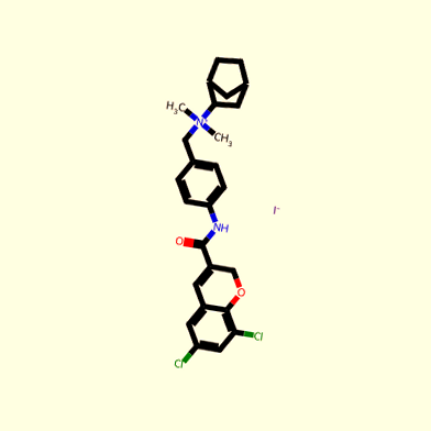 C[N+](C)(Cc1ccc(NC(=O)C2=Cc3cc(Cl)cc(Cl)c3OC2)cc1)C1CC2CCC1C2.[I-]